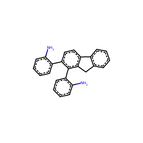 Nc1ccccc1-c1ccc2c(c1-c1ccccc1N)Cc1ccccc1-2